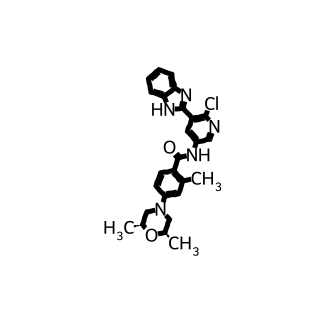 Cc1cc(N2C[C@@H](C)O[C@@H](C)C2)ccc1C(=O)Nc1cnc(Cl)c(-c2nc3ccccc3[nH]2)c1